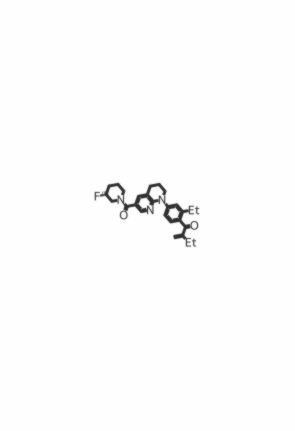 C=C(CC)C(=O)c1ccc(N2CCCc3cc(C(=O)N4CCC[C@H](F)C4)cnc32)cc1CC